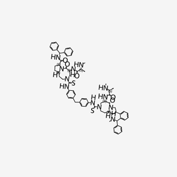 CNC(c1ccccc1)c1ccccc1C1C[C@@H]2CCN(C(=S)Nc3ccc(Cc4ccc(NC(=S)N5CC[C@H]6CC[C@@H](C(=O)NC(c7ccccc7)c7ccccc7)N6C(=O)[C@@H](NC(=O)[C@H](C)NC)C5)cc4)cc3)C[C@H](NC(=O)[C@H](C)NC)C(=O)N2C1